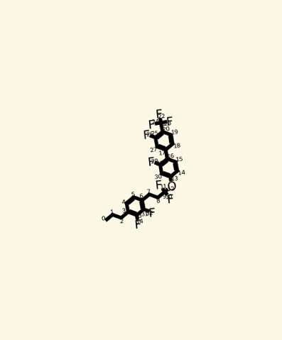 CCCc1ccc(CCC(F)(F)Oc2ccc(-c3ccc(C(F)(F)F)c(F)c3)c(F)c2)c(F)c1F